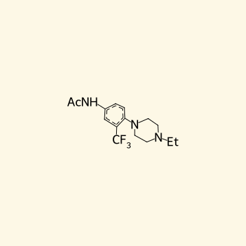 CCN1CCN(c2ccc(NC(C)=O)cc2C(F)(F)F)CC1